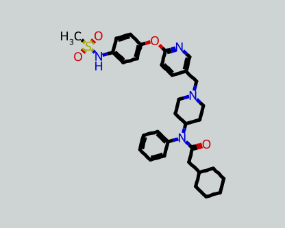 CS(=O)(=O)Nc1ccc(Oc2ccc(CN3CCC(N(C(=O)CC4CCCCC4)c4ccccc4)CC3)cn2)cc1